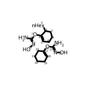 CCCCCCC1CCCC=C1OC(N)=NO.NC(=NO)OC1=CCCCC1